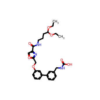 CCOC(CCCNC(=O)c1coc(COc2cccc(-c3cccc(CNC(=O)O)c3)c2)n1)OCC